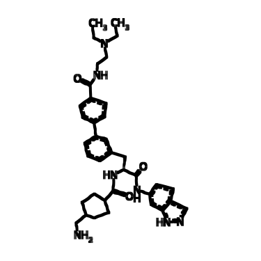 CCN(CC)CCNC(=O)c1ccc(-c2cccc(C[C@H](NC(=O)C3CCC(CN)CC3)C(=O)Nc3ccc4cn[nH]c4c3)c2)cc1